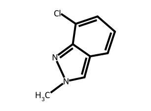 Cn1cc2cccc(Cl)c2n1